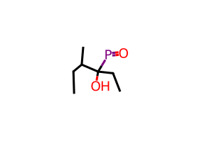 CCC(C)C(O)(CC)P=O